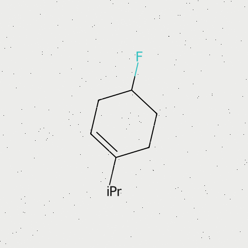 CC(C)C1=CCC(F)CC1